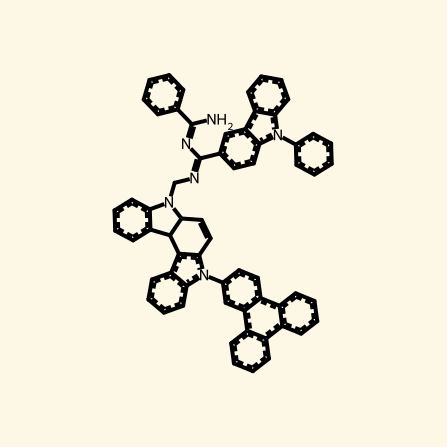 N/C(=N\C(=N/CN1c2ccccc2C2c3c(n(-c4ccc5c6ccccc6c6ccccc6c5c4)c4ccccc34)C=CC21)c1ccc2c(c1)c1ccccc1n2-c1ccccc1)c1ccccc1